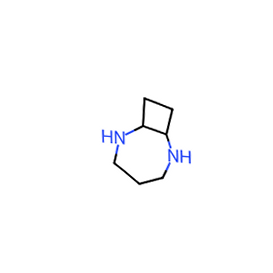 C1CNC2CCC2NC1